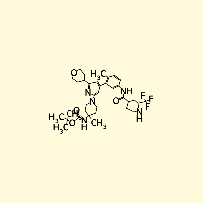 Cc1ccc(NC(=O)C2CCNC(C(F)(F)F)C2)cc1-c1cc(C2CCOCC2)nc(N2CCC(C)(NC(=O)OC(C)(C)C)CC2)c1